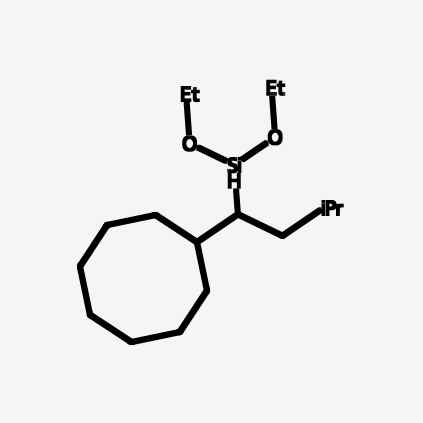 CCO[SiH](OCC)C(CC(C)C)C1CCCCCCC1